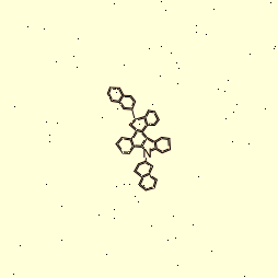 c1ccc2cc(-c3cc4c5ccccc5c5c(c6ccccc6n5-c5ccc6ccccc6c5)c4c4ccccc34)ccc2c1